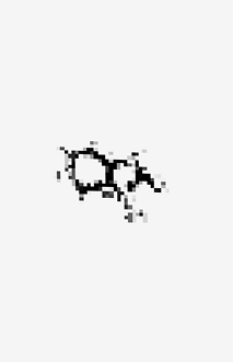 CC(C)n1c(=O)sc2cnncc21